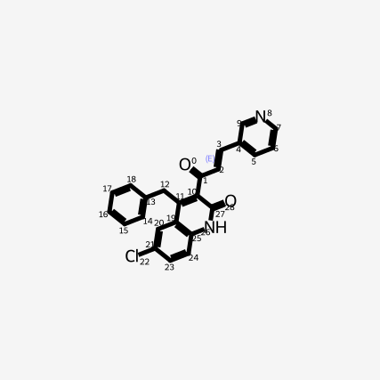 O=C(/C=C/c1cccnc1)c1c(Cc2ccccc2)c2cc(Cl)ccc2[nH]c1=O